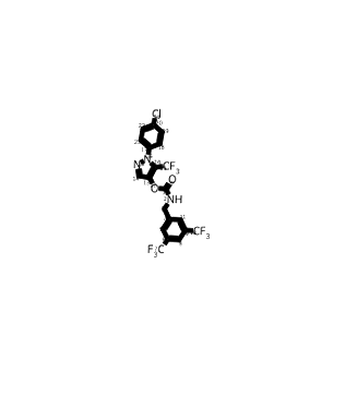 O=C(NCc1cc(C(F)(F)F)cc(C(F)(F)F)c1)Oc1cnn(-c2ccc(Cl)cc2)c1C(F)(F)F